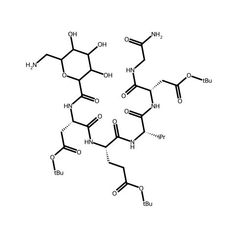 CC(C)[C@H](NC(=O)[C@H](CCC(=O)OC(C)(C)C)NC(=O)[C@H](CC(=O)OC(C)(C)C)NC(=O)C1OC(CN)C(O)C(O)C1O)C(=O)N[C@@H](CC(=O)OC(C)(C)C)C(=O)NCC(N)=O